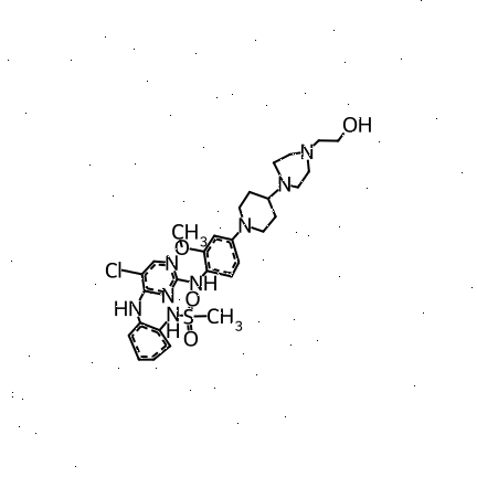 COc1cc(N2CCC(N3CCN(CCO)CC3)CC2)ccc1Nc1ncc(Cl)c(Nc2ccccc2NS(C)(=O)=O)n1